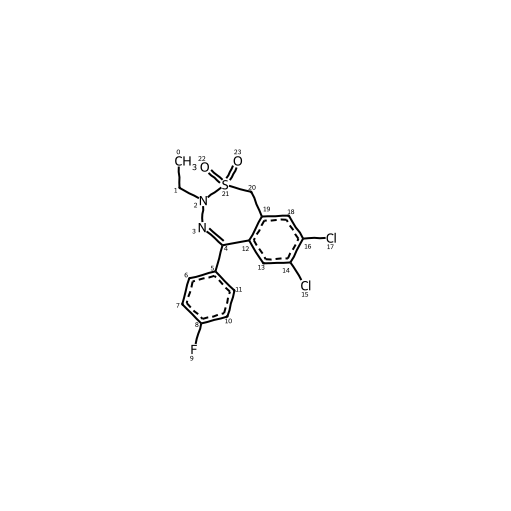 CCN1N=C(c2ccc(F)cc2)c2cc(Cl)c(Cl)cc2CS1(=O)=O